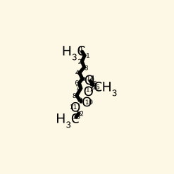 CCCCCC(CCCC(=O)OCC)OC(C)=O